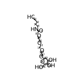 C#CCCCNC(=O)COCCOCCOCCO[C@H]1C[C@@H](O)[C@@H](O)[C@@H](CO)O1